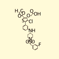 COC(=O)c1sc(-c2cccc(NC3CCN(S(=O)(=O)Cc4cccc(F)c4)CC3)c2)c(Cl)c1OCC(=O)O